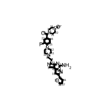 Nc1nc2c(cnn2CCN2CCN(c3ccc(C(=O)N4CC[S+]([O-])CC4)cc3F)CC2)c2cc(-c3ccco3)nn12